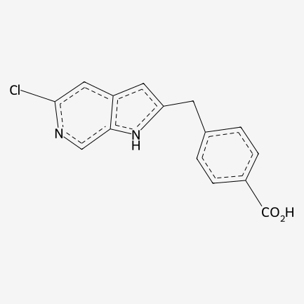 O=C(O)c1ccc(Cc2cc3cc(Cl)ncc3[nH]2)cc1